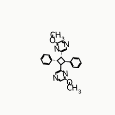 COc1cncc(C2[C@H](c3ccccc3)[C@H](c3cncc(OC)n3)[C@H]2c2ccccc2)n1